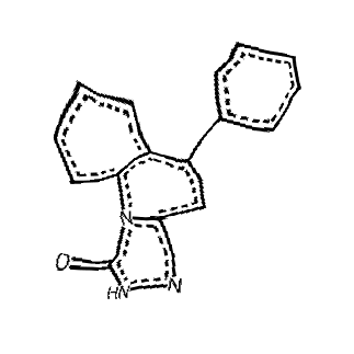 O=c1[nH]nc2cc(-c3ccccc3)c3ccccc3n12